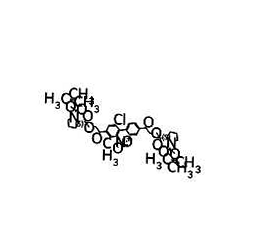 Cc1c(C(=O)COC(=O)[C@@H]2CCCN2C(=O)OC(C)(C)C)cc(Cl)c(-c2ccc(C(=O)COC(=O)[C@@H]3CCCN3C(=O)OC(C)(C)C)cc2)c1[N+](=O)[O-]